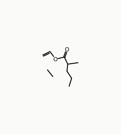 C=COC(=O)C(C)CCC.CC